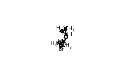 Cc1cc(Br)cc(C)c1NC(=O)NCC1CCC(Nc2cc(N(C)C)c3ccccc3n2)CC1